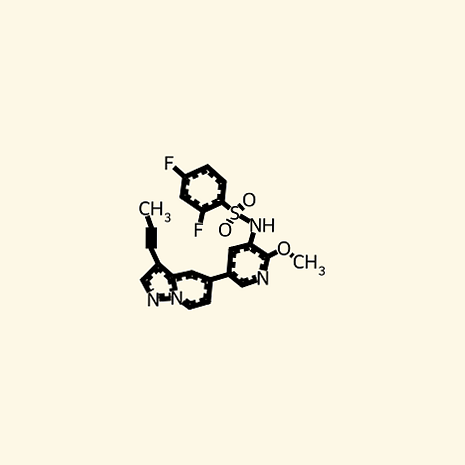 CC#Cc1cnn2ccc(-c3cnc(OC)c(NS(=O)(=O)c4ccc(F)cc4F)c3)cc12